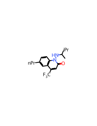 CCCc1ccc2c(c1)c(C(F)(F)F)cc(=O)n2NC(C)C(C)C